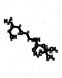 CC(CO)COCCNC(=O)OC(C)(C)C